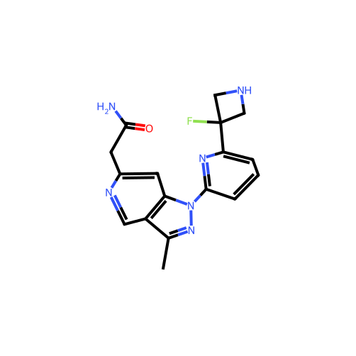 Cc1nn(-c2cccc(C3(F)CNC3)n2)c2cc(CC(N)=O)ncc12